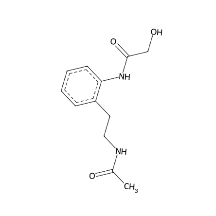 CC(=O)NCCc1ccccc1NC(=O)CO